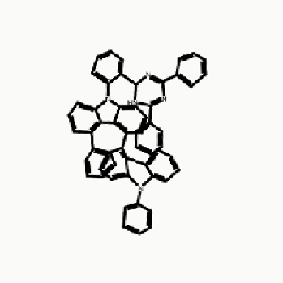 c1ccc(C2=NC(c3ccccc3-n3c4cccc(-c5ccccc5)c4c4c(-c5cccc6c5c5ccccc5n6-c5ccccc5)cccc43)NC(c3ccccc3)=N2)cc1